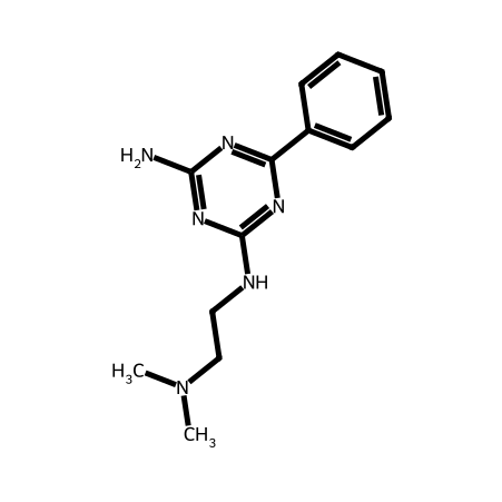 CN(C)CCNc1nc(N)nc(-c2ccccc2)n1